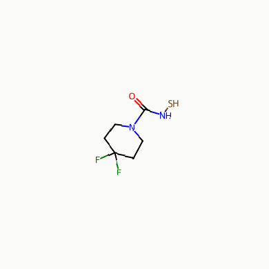 O=C(NS)N1CCC(F)(F)CC1